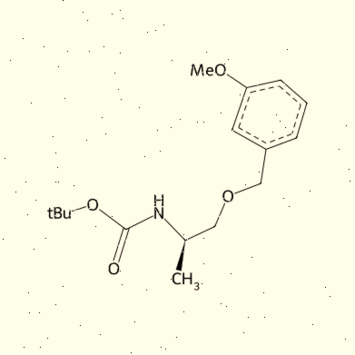 COc1cccc(COC[C@@H](C)NC(=O)OC(C)(C)C)c1